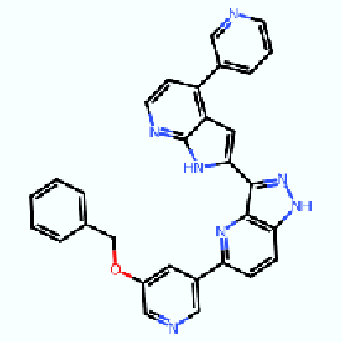 c1ccc(COc2cncc(-c3ccc4[nH]nc(-c5cc6c(-c7cccnc7)ccnc6[nH]5)c4n3)c2)cc1